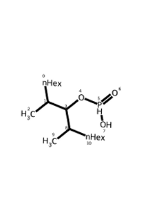 CCCCCCC(C)C(O[PH](=O)O)C(C)CCCCCC